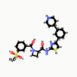 CS(=O)(=O)c1cccc(C(=O)N2CCC2C(=O)Nc2nc(-c3cccc(-c4ccncc4)c3)cs2)c1